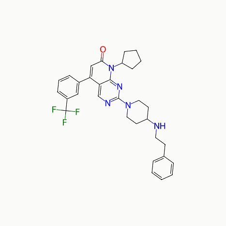 O=c1cc(-c2cccc(C(F)(F)F)c2)c2cnc(N3CCC(NCCc4ccccc4)CC3)nc2n1C1CCCC1